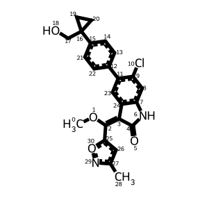 COC(=C1C(=O)Nc2cc(Cl)c(-c3ccc(C4(CO)CC4)cc3)cc21)c1cc(C)no1